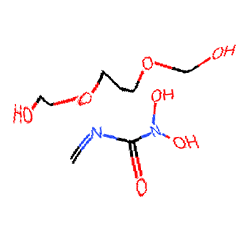 C=NC(=O)N(O)O.OCOCCOCO